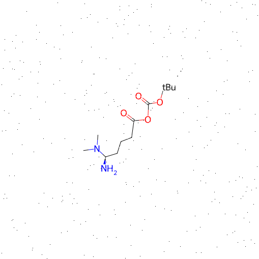 CN(C)[C@H](N)CCCC(=O)OC(=O)OC(C)(C)C